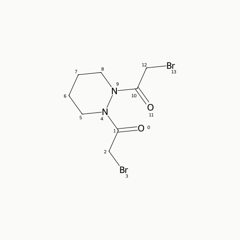 O=C(CBr)N1CCCCN1C(=O)CBr